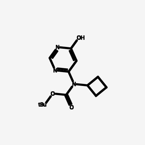 CC(C)(C)OC(=O)N(c1cc(O)ncn1)C1CCC1